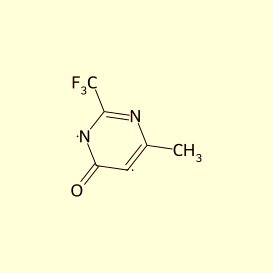 CC1=[C]C(=O)[N]C(C(F)(F)F)=N1